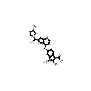 Cc1c(C(=O)O)c2ccc(Oc3ccnc4cc(C(=O)N5CC[C@@H](O)C5)sc34)cc2n1C